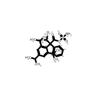 CC(C)c1cc(C(C)C)c(C(C(=O)OS(N)(=O)=O)(c2ccccc2)C(C)C)c(C(C)C)c1